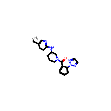 CCC1=CN=C(N[C@@H]2CCCN(C(=O)c3ccccc3-n3nccn3)C2)CC1